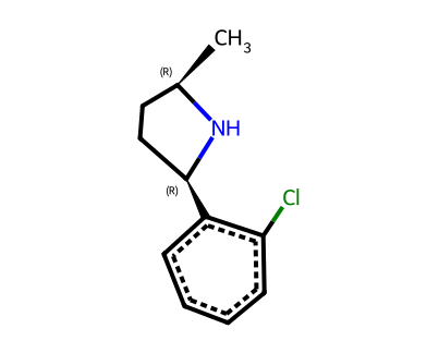 C[C@@H]1CC[C@H](c2ccccc2Cl)N1